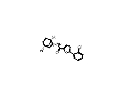 O=C(N[C@@H]1C[C@H]2CC[C@@H]1N2)c1cnc(-c2ccccc2Cl)s1